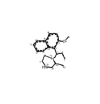 CCC(c1c(OC)ccc2ccccc12)N1CCNCC1C